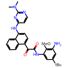 COc1c(N)cc(C(C)(C)C)cc1NC(=O)C(=O)c1ccc(Nc2ccnc(N(C)C)n2)c2ccccc12